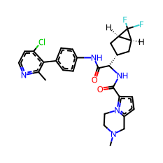 Cc1nccc(Cl)c1-c1ccc(NC(=O)C(NC(=O)c2ccc3n2CCN(C)C3)[C@@H]2C[C@@H]3[C@H](C2)C3(F)F)cc1